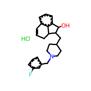 Cl.OC1c2cccc3c2C(CC=C3)C1CC1CCN(Cc2cccc(F)c2)CC1